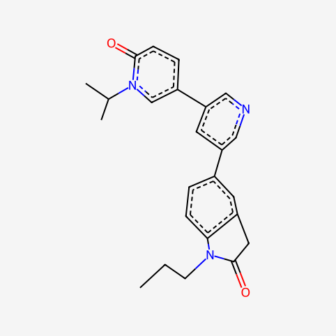 CCCN1C(=O)Cc2cc(-c3cncc(-c4ccc(=O)n(C(C)C)c4)c3)ccc21